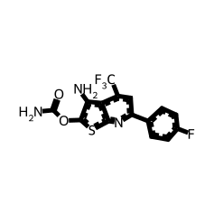 NC(=O)Oc1sc2nc(-c3ccc(F)cc3)cc(C(F)(F)F)c2c1N